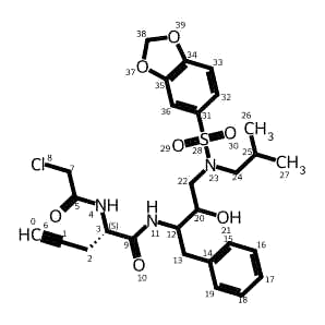 C#CC[C@H](NC(=O)CCl)C(=O)NC(Cc1ccccc1)C(O)CN(CC(C)C)S(=O)(=O)c1ccc2c(c1)OCO2